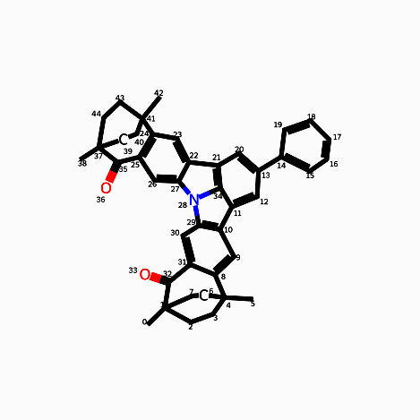 CC12CCC(C)(CC1)c1cc3c4cc(-c5ccccc5)cc5c6cc7c(cc6n(c3cc1C2=O)c45)C(=O)C1(C)CCC7(C)CC1